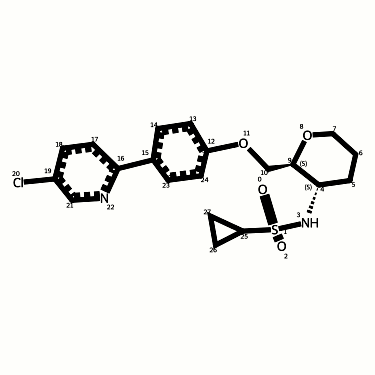 O=S(=O)(N[C@H]1CCCO[C@@H]1COc1ccc(-c2ccc(Cl)cn2)cc1)C1CC1